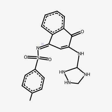 Cc1ccc(S(=O)(=O)/N=C2\C=C(NC3NCNN3)C(=O)c3ccccc32)cc1